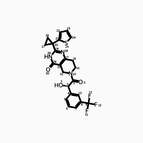 O=C([C@H](O)c1cccc(C(F)(F)F)c1)N1CCc2nc(C3(c4cccs4)CC3)[nH]c(=O)c2C1